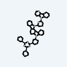 c1ccc(-c2nc(-c3ccccc3)nc(-c3cccc(-n4c5ccccc5c5c4ccc4c6ccccc6n(-c6cccc(-n7c8ccccc8c8ncccc87)n6)c45)c3)n2)cc1